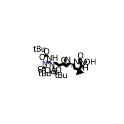 CC(C)(C)OC(=O)/N=C(\NCC(O[Si](C)(C)C(C)(C)C)c1cc([C@@H]2CC3(CC3)[C@H]3CN2C(=O)N3O)no1)NC(=O)OC(C)(C)C